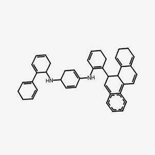 C1=CCC(NC2C=CC(NC3=C(C4C=c5ccccc5=C5C=CC6=CCCC=C6C54)CCC=C3)=CC2)C(C2=CCCC=C2)=C1